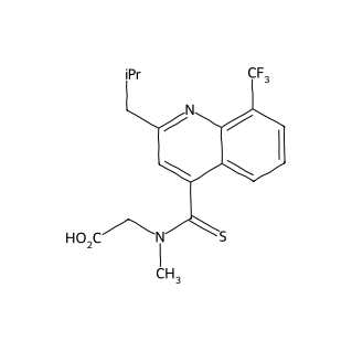 CC(C)Cc1cc(C(=S)N(C)CC(=O)O)c2cccc(C(F)(F)F)c2n1